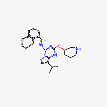 CC(C)c1cnn2c(N[C@@H](C)c3cccc4ccccc34)nc(OC3CCCNC3)nc12